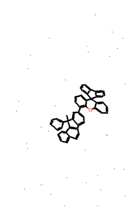 CC1(c2ccccc2)c2cc(-c3cccc4c3Oc3ccccc3C43c4ccccc4-c4ccccc43)ccc2-c2ccc3ccccc3c21